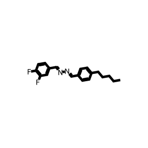 CCCCCc1ccc(C=NN=Cc2ccc(F)c(F)c2)cc1